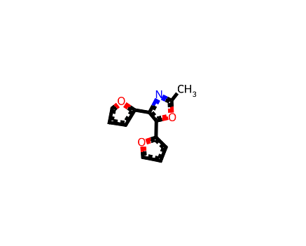 Cc1nc(-c2ccco2)c(-c2ccco2)o1